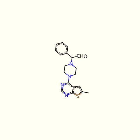 Cc1cc2c(N3CCN(C(C=O)c4ccccc4)CC3)ncnc2s1